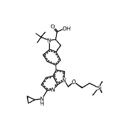 CC(C)(C)N1c2ccc(-c3cn(COCC[Si](C)(C)C)c4nc(NC5CC5)ccc34)cc2CC1C(=O)O